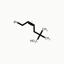 CC(C)C/C=C\CC(C)(C)C(=O)O